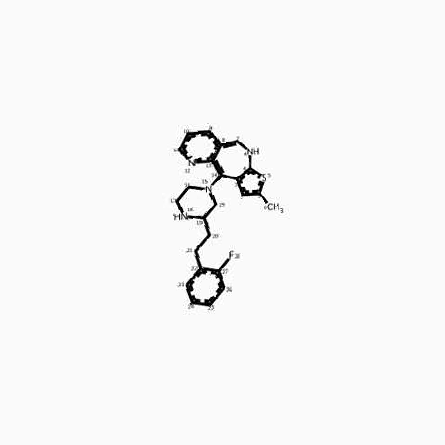 Cc1cc2c(s1)NC=c1cccnc1=C2N1CCNC(CCc2ccccc2F)C1